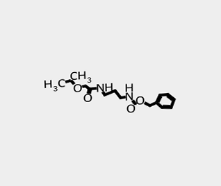 CC(C)OCC(=O)NCCCNC(=O)OCc1ccccc1